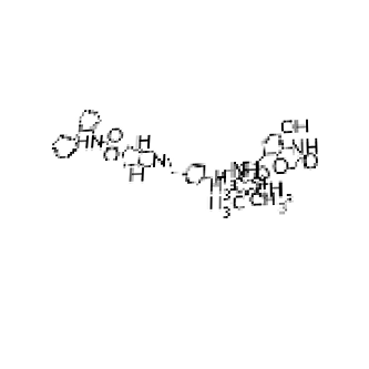 CC(C)(C)[Si](C)(C)O[C@@H](CNCCc1ccc(CCN2C[C@H]3C[C@H](OC(=O)Nc4ccccc4-c4ccccc4)C[C@H]3C2)cc1)c1ccc(O)c2c1OCC(=O)N2